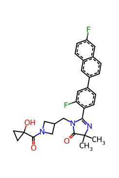 CC1(C)N=C(c2ccc(-c3ccc4cc(F)ccc4c3)cc2F)N(CC2CN(C(=O)C3(O)CC3)C2)C1=O